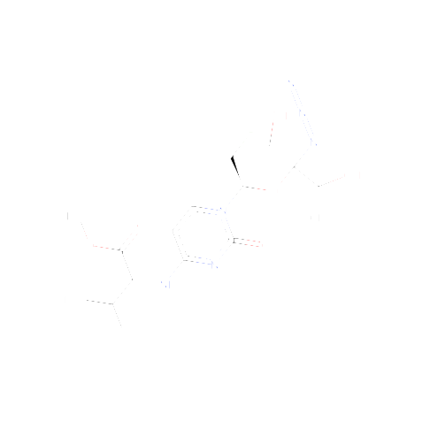 COC(=O)[C@H](Nc1ccn([C@@H](CF)O[C@@](CO)(N=[N+]=[N-])[C@@H](C)O)c(=O)n1)C(C)C